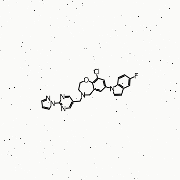 Fc1ccc2c(ccn2-c2cc(Cl)c3c(c2)CN(Cc2cnc(-n4cccn4)nc2)CCO3)c1